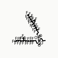 CC(COS(=O)(=O)CCC(F)(F)C(F)(F)C(F)(F)C(F)(F)C(F)(C(F)(F)F)C(F)(F)C(F)(F)C(F)(F)F)OS(=O)(=O)CCC(F)(F)C(F)(F)C(F)(F)C(F)(F)C(F)(C(F)(F)F)C(F)(F)C(F)(F)C(F)(F)F